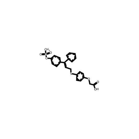 CS(=O)(=O)Oc1ccc(C(=CCSc2ccc(OCC(=O)O)cc2)c2ccccc2)cc1